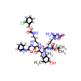 Cc1cc(O)cc(C)c1C[C@H](NC(=O)[C@@H](CCCN/C(N)=N\[N+](=O)[O-])NC(=O)OC(C)(C)C)C(=O)N[C@@H](CCCCNC(=O)OCc1ccccc1Cl)C(=O)N[C@@H](Cc1ccccc1)C(N)=O